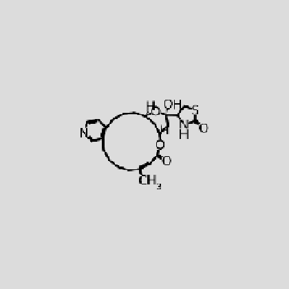 CC1=CC(=O)O[C@@H]2C[C@@H](CCCc3ccncc3CCCC1)O[C@@](O)(C1CSC(=O)N1)C2